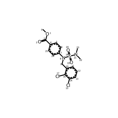 COC(=O)c1ccc(N(Cc2cccc(Cl)c2Cl)S(=O)(=O)N(C)C)cc1